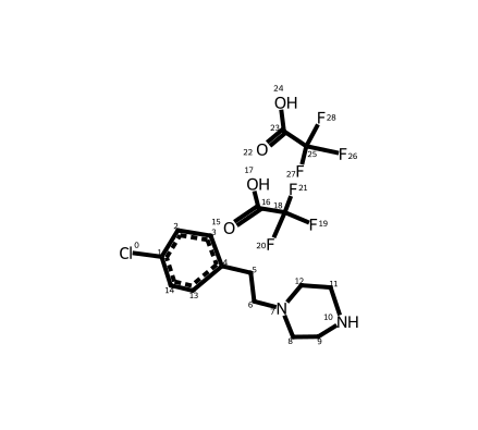 Clc1ccc(CCN2CCNCC2)cc1.O=C(O)C(F)(F)F.O=C(O)C(F)(F)F